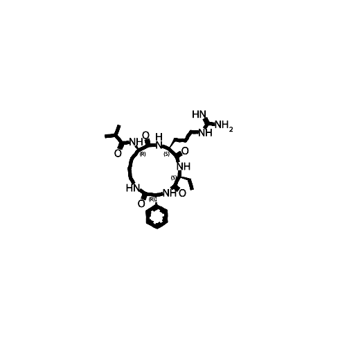 CC[C@@H]1NC(=O)[C@H](CCCNC(=N)N)NC(=O)[C@H](NC(=O)C(C)C)CCCNC(=O)[C@@H](c2ccccc2)NC1=O